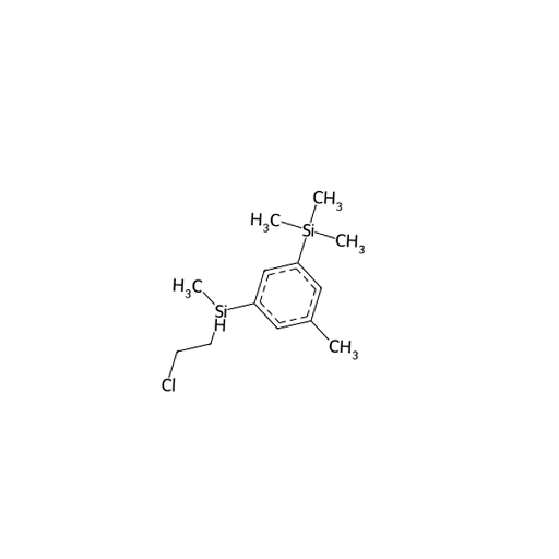 Cc1cc([SiH](C)CCCl)cc([Si](C)(C)C)c1